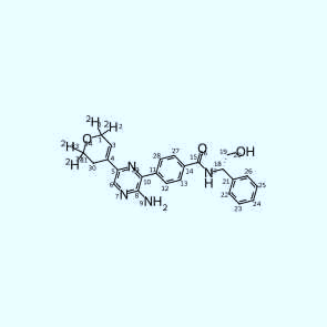 [2H]C1([2H])C=C(c2cnc(N)c(-c3ccc(C(=O)N[C@H](CO)c4ccccc4)cc3)n2)CC([2H])([2H])O1